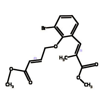 COC(=O)/C=C/COc1c(Br)cccc1/C=C(\C)C(=O)OC